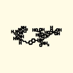 N=C(NCCCCc1ccc2cc(CC[C@H](NCCCN(C[C@H](O)C[C@H](O)[C@H](O)CO)C[C@H](O)C[C@H](O)[C@H](O)CO)C(N)=O)ccc2c1)NC(=O)c1nc(Cl)c(N)nc1N